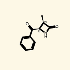 C[C@H]1C(=O)N[C@H]1C(=O)c1ccccc1